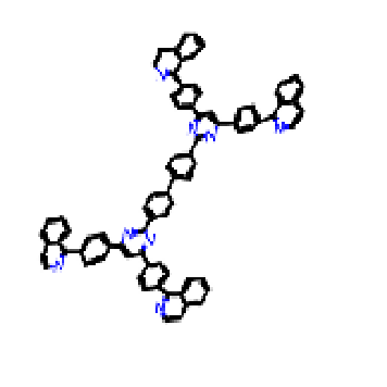 c1ccc2c(-c3ccc(-c4cc(-c5ccc(-c6nccc7ccccc67)cc5)nc(-c5ccc(-c6ccc(-c7nc(-c8ccc(-c9nccc%10ccccc9%10)cc8)cc(-c8ccc(-c9nccc%10ccccc9%10)cc8)n7)cc6)cc5)n4)cc3)nccc2c1